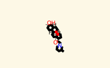 CC1CCCN(CC(=O)[C@H]2CC[C@H]3[C@@H]4CC[C@@H]5C[C@](C)(O)CC[C@@H]5[C@H]4CC[C@]23C)C1